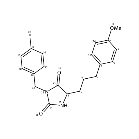 COc1ccc(CCCC2NC(=O)N(Cc3ccc(F)cc3)C2=O)cc1